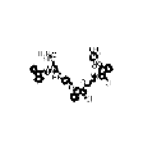 CN1CCN(C(=O)Oc2cc3c(c4ccccc24)[C@H](CCl)CN3C(=O)CCCC(=O)N2C[C@@H](CCl)c3c2cc(OCc2ccc(NC[C@H](CCCNC(N)=O)NC(=O)OCC4c5ccccc5-c5ccccc54)cc2)c2ccccc32)CC1